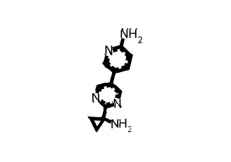 Nc1ccc(-c2cnc(C3(N)CC3)nc2)cn1